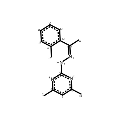 CC(=NNc1nc(C)cc(C)n1)c1ccccc1C